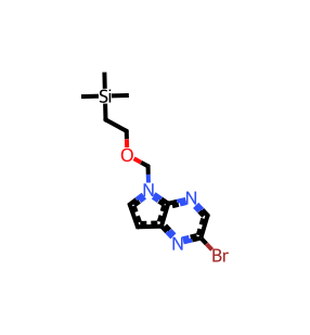 C[Si](C)(C)CCOCn1ccc2nc(Br)cnc21